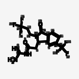 N=C(N)NC(=O)CC1c2cc(C(F)(F)F)ccc2C(=O)N1CCC(F)(F)F